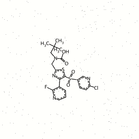 CC(C)(C)CN(Cc1nc(-c2cccnc2F)c(S(=O)(=O)c2ccc(Cl)nc2)s1)C(=O)O